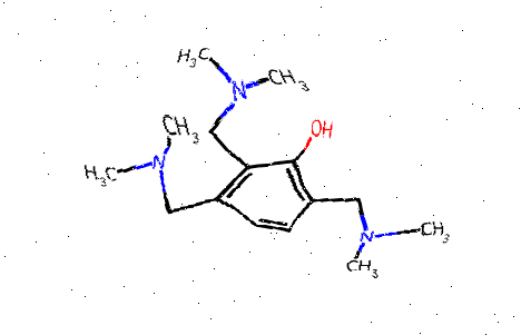 CN(C)Cc1ccc(CN(C)C)c(CN(C)C)c1O